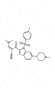 Cc1ccc(S(=O)(=O)n2c(C(=O)/C(C#N)=C\N(C)C)cc3ccc(C4CCN(C)CC4)cc32)cc1